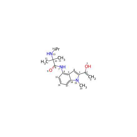 C=C(O)c1cc2c(NC(=O)C(C)(C)NC(C)C)cccc2n1C